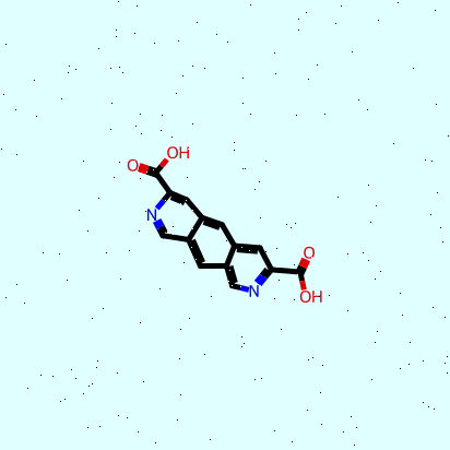 O=C(O)c1cc2cc3cc(C(=O)O)ncc3cc2cn1